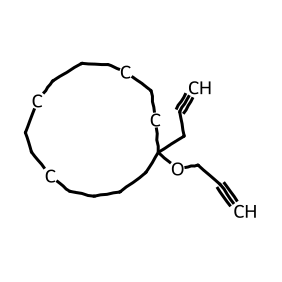 C#CCOC1(CC#C)CCCCCCCCCCCCCC1